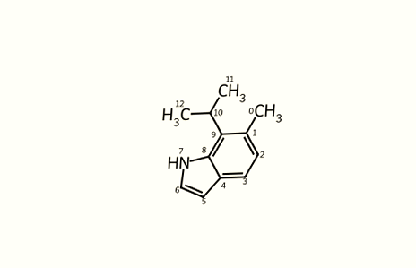 Cc1ccc2cc[nH]c2c1C(C)C